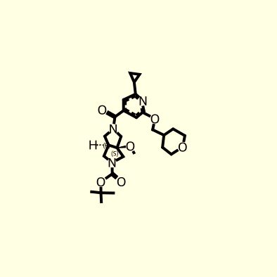 CO[C@@]12CN(C(=O)OC(C)(C)C)C[C@H]1CN(C(=O)c1cc(OCC3CCOCC3)nc(C3CC3)c1)C2